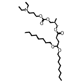 CCCCCCCCOC(CCC(=O)O[CH]C(C)COC(=O)OCCCN(CC)CC)OCCCCCCCC